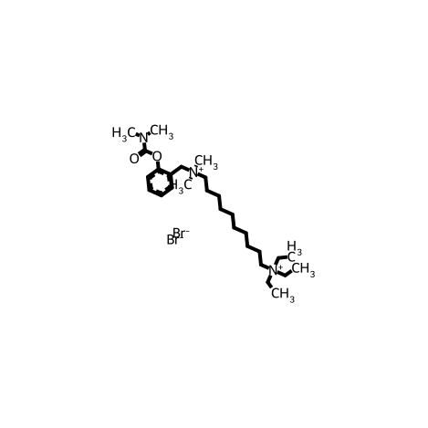 CC[N+](CC)(CC)CCCCCCCCCC[N+](C)(C)Cc1ccccc1OC(=O)N(C)C.[Br-].[Br-]